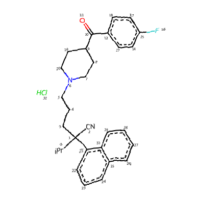 CC(C)C(C#N)(CCCN1CCC(C(=O)c2ccc(F)cc2)CC1)c1cccc2ccccc12.Cl